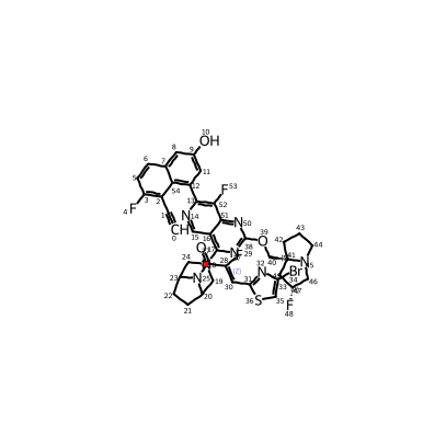 C#Cc1c(F)ccc2cc(O)cc(-c3ncc4c(N5CC6CCC(C5)N6C(=O)/C(F)=C/c5nc(Br)cs5)nc(OC[C@@]56CCCN5C[C@H](F)C6)nc4c3F)c12